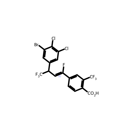 O=C(O)c1ccc(/C(F)=C/C(c2cc(Cl)c(Cl)c(Br)c2)C(F)(F)F)cc1C(F)(F)F